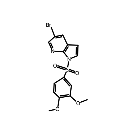 COc1ccc(S(=O)(=O)n2ccc3cc(Br)cnc32)cc1OC